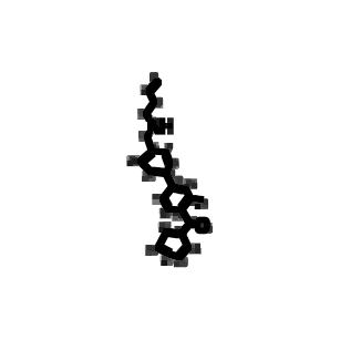 C=CCCNCc1ccc(-c2ccc(C(=O)c3ccccc3)c(C)c2)cc1